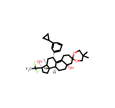 CC1(C)COC2(CCC3=C4[C@@H](CC[C@@]3(O)C2)[C@@H]2CC[C@@](O)(C(F)(F)C(F)(F)F)[C@@]2(C)C[C@@H]4c2cccc(C3CC3)c2)OC1